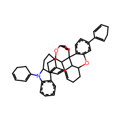 C1=CCCC(N2c3ccccc3C3=C(C4=CCCC5Oc6cc(C7=CCCC=C7)ccc6C6(C7=CCCCC7OC7CCC=CC76)C45)CCCC32)=C1